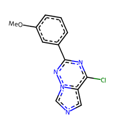 COc1cccc(-c2nc(Cl)c3cncn3n2)c1